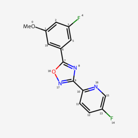 COc1cc(F)cc(-c2nc(-c3ccc(F)cn3)no2)c1